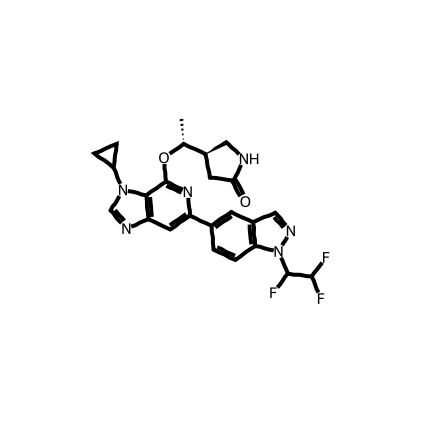 C[C@@H](Oc1nc(-c2ccc3c(cnn3C(F)C(F)F)c2)cc2ncn(C3CC3)c12)[C@H]1CNC(=O)C1